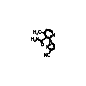 Cc1ccnc(-n2ccc(C#N)n2)c1C(N)=O